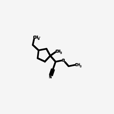 [CH2]CC1C[CH]C(C)(C(C#N)OCC)C1